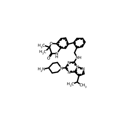 CC(C)c1cnn2c(NCc3ccccc3-c3ccc4c(c3)NC(=O)C(C)(C)O4)nc(N3CCC(N)CC3)nc12